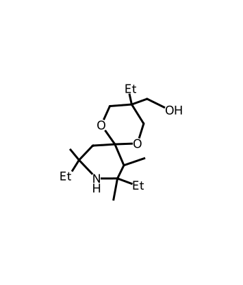 CCC1(CO)COC2(CC(C)(CC)NC(C)(CC)C2C)OC1